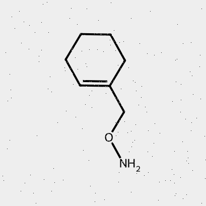 NOCC1=CCCCC1